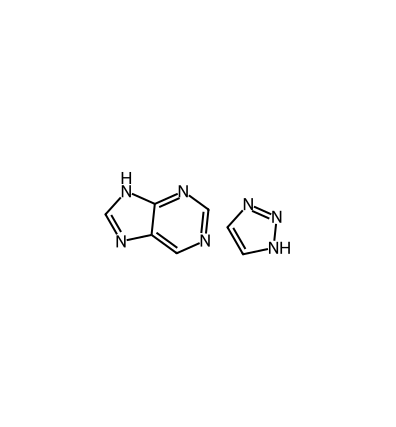 c1c[nH]nn1.c1ncc2nc[nH]c2n1